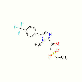 CCS(=O)(=O)CC(=O)c1ncc(-c2ccc(C(F)(F)F)cc2)n1C